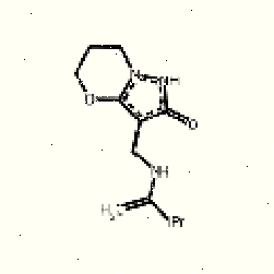 C=C(NCc1c2n([nH]c1=O)CCCO2)C(C)C